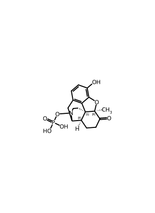 C[C@@]12Oc3c(O)ccc4c3[C@@]13CCN(OP(=O)(O)O)C(C4)[C@@H]3CCC2=O